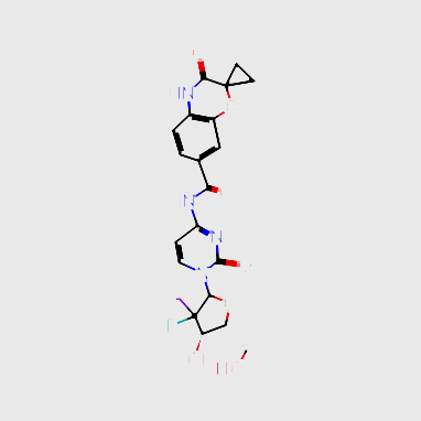 O=C(Nc1ccn(C2O[C@H](CO)[C@@H](O)C2(F)I)c(=O)n1)c1ccc2c(c1)OC1(CC1)C(=O)N2